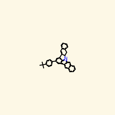 CC(C)(C)c1ccc(-c2cc3c4c(c2)c2cc5ccccc5cc2n4C2Cc4ccccc4C=C32)cc1